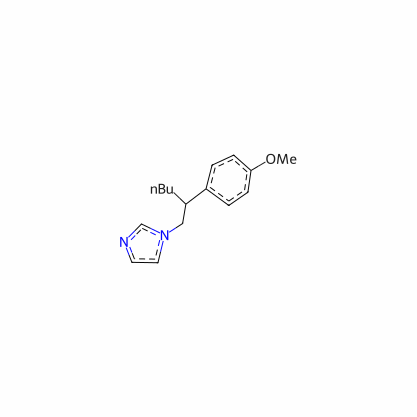 CCCCC(Cn1ccnc1)c1ccc(OC)cc1